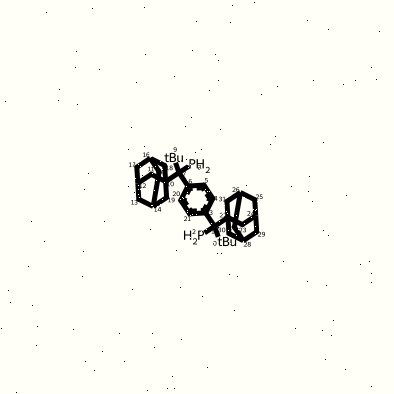 CC(C)(C)C(P)(c1ccc(C(P)(C(C)(C)C)C23CC4CC(CC(C4)C2)C3)cc1)C12CC3CC(CC(C3)C1)C2